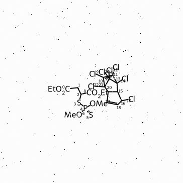 CCOC(=O)CC(SP(=S)(OC)OC)C(=O)OCC.ClC1=C(Cl)C2(Cl)C3C(Cl)C=CC3C1(Cl)C2(Cl)Cl